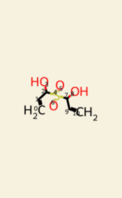 C=CC(O)S(=O)(=O)C(O)C=C